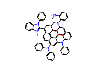 CNc1ccccc1N(CC1CC(c2n(-c3ccccc3)c3ccccc3[n+]2C)=c2ccc3c(N(c4ccccc4)c4ccccc4)cc(N(c4ccccc4)c4ccccc4)c4ccc1c2c43)C1C=CC=CC1